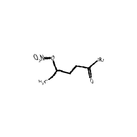 CC(CCC(=O)C(C)(C)C)O[N+](=O)[O-]